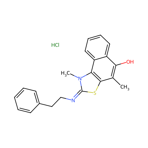 Cc1c(O)c2ccccc2c2c1sc(=NCCc1ccccc1)n2C.Cl